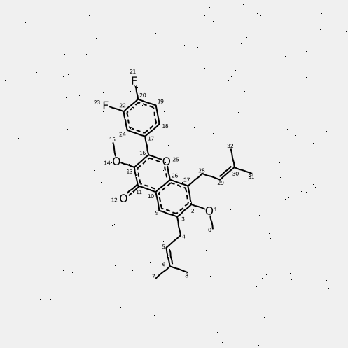 COc1c(CC=C(C)C)cc2c(=O)c(OC)c(-c3ccc(F)c(F)c3)oc2c1CC=C(C)C